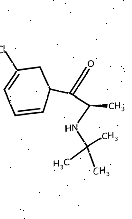 C[C@@H](NC(C)(C)C)C(=O)C1C=CC=C(Cl)C1